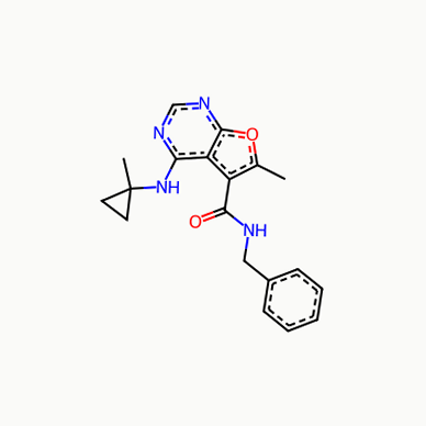 Cc1oc2ncnc(NC3(C)CC3)c2c1C(=O)NCc1ccccc1